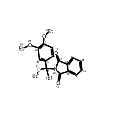 CCOc1ccc(C(CC)(OCC)N2C(=O)c3ccccc3C2=O)cc1OCC